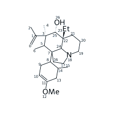 C=C(C)[C@]1(C)C(C)C2(C3CC=C(OC)CC3C)CCN3CCC[C@](CC)(C32)[C@H]1O